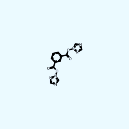 O=C(On1cncn1)c1cccc(C(=O)On2cncn2)c1